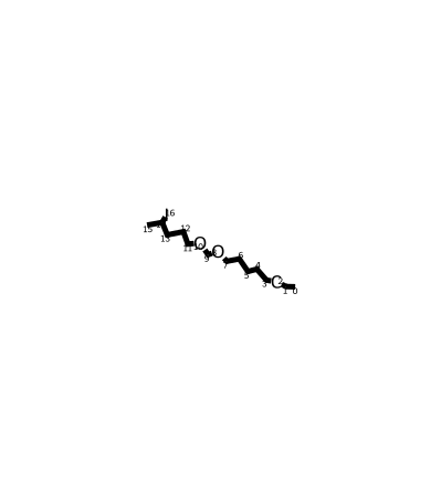 CCCCCCCCOCOCCCC(C)I